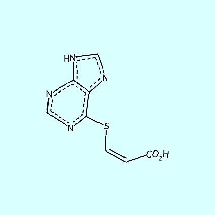 O=C(O)/C=C\Sc1ncnc2[nH]cnc12